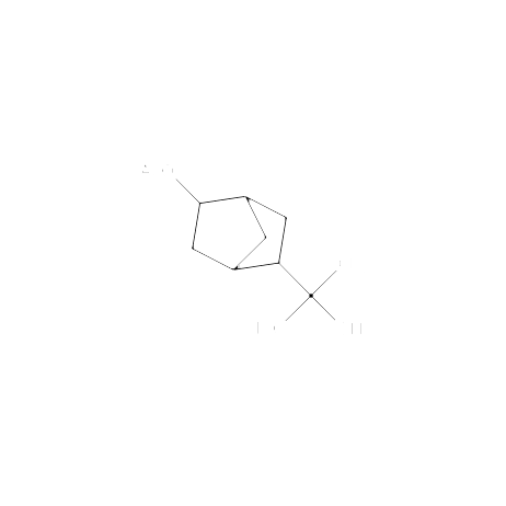 CC(=O)OC1CC2CC1CC2C(O)(C(F)(F)F)C(F)(F)F